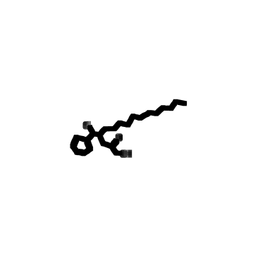 CCCCCCCCCCCCC(CC(=O)CO)C(Cl)c1ccccc1